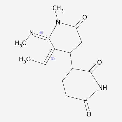 C/C=C1\C(=N/C)N(C)C(=O)CC1C1CCC(=O)NC1=O